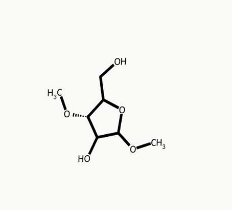 COC1OC(CO)[C@@H](OC)C1O